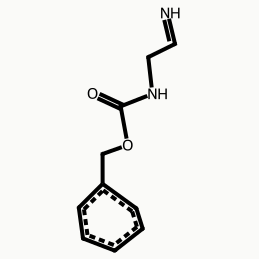 N=CCNC(=O)OCc1ccccc1